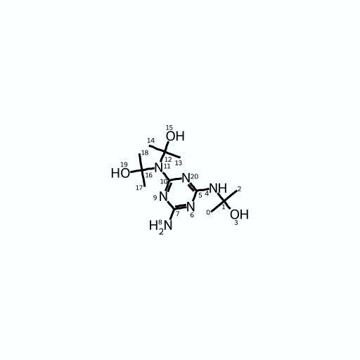 CC(C)(O)Nc1nc(N)nc(N(C(C)(C)O)C(C)(C)O)n1